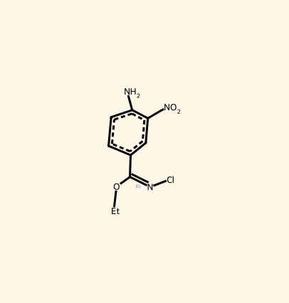 CCO/C(=N/Cl)c1ccc(N)c([N+](=O)[O-])c1